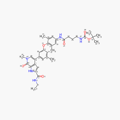 CCNC(=O)c1cc2c(-c3cc(C)cc(Oc4c(C)cc(NC(=O)CCCNC(=O)OC(C)(C)C)cc4C)c3)cn(C)c(=O)c2[nH]1